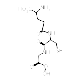 NC(CCC(=O)NC(CS)C(=O)NCC(=O)OO)C(=O)O